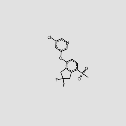 CS(=O)(=O)c1ccc(Oc2cncc(Cl)c2)c2c1CC(F)(F)C2